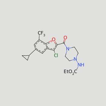 CCOC(=O)NN1CCN(C(=O)c2oc3c(C(F)(F)F)cc(C4CC4)cc3c2Cl)CC1